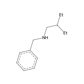 CC[C](CC)CNCc1ccccc1